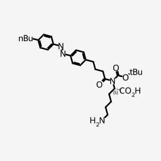 CCCCc1ccc(N=Nc2ccc(CCCC(=O)N(C(=O)OC(C)(C)C)[C@@H](CCCCN)C(=O)O)cc2)cc1